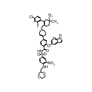 CC1(C)CCC(CN2CC=C(c3ccc(C(=O)NS(=O)(=O)c4ccc(NCC5COCCO5)c([N+](=O)[O-])c4)c(Oc4cnc5[nH]ccc5c4)c3)CC2)=C(c2ccc(Cl)cc2F)C1